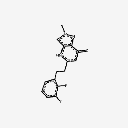 Cn1cc2[nH]c(CCc3cccc(F)c3F)cc(=O)c2n1